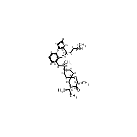 CNCC[C@@H](Oc1ccccc1C[C@@H](C)N1CCC2(CC1)CN(C(C)C)C(=O)[C@@H](C)O2)c1cccs1